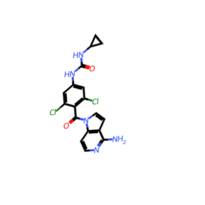 Nc1nccc2c1ccn2C(=O)c1c(Cl)cc(NC(=O)NC2CC2)cc1Cl